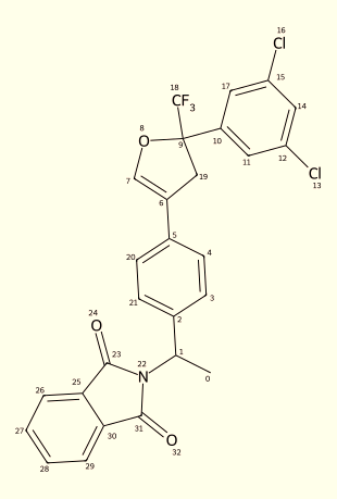 CC(c1ccc(C2=COC(c3cc(Cl)cc(Cl)c3)(C(F)(F)F)C2)cc1)N1C(=O)c2ccccc2C1=O